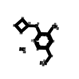 Cc1cc(CN)cnc1OC1CCC1.Cl